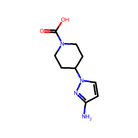 Nc1ccn(C2CCN(C(=O)O)CC2)n1